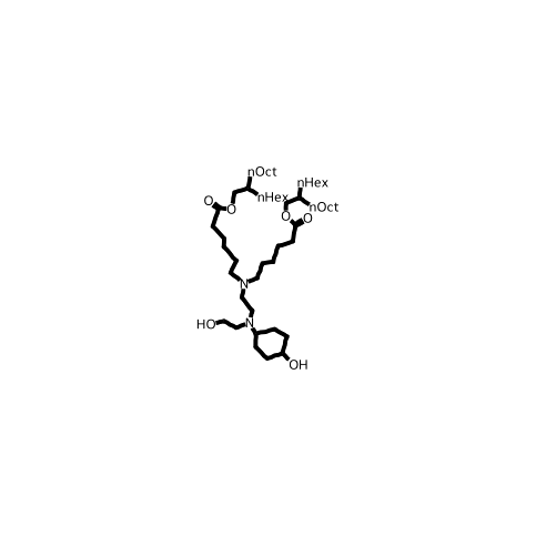 CCCCCCCCC(CCCCCC)COC(=O)CCCCCN(CCCCCC(=O)OCC(CCCCCC)CCCCCCCC)CCN(CCO)C1CCC(O)CC1